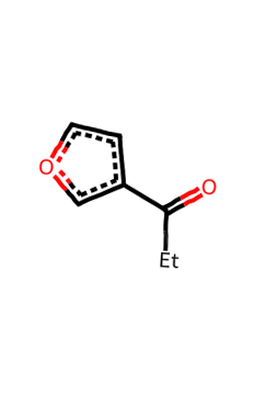 CCC(=O)c1ccoc1